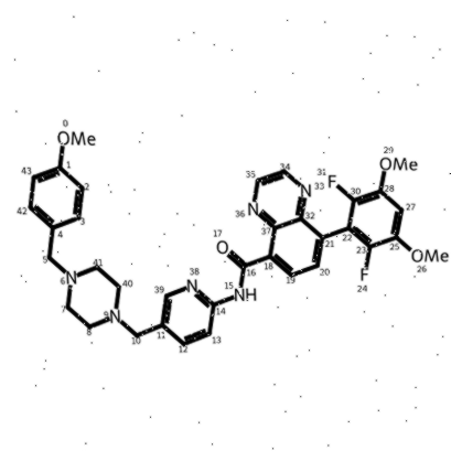 COc1ccc(CN2CCN(Cc3ccc(NC(=O)c4ccc(-c5c(F)c(OC)cc(OC)c5F)c5nccnc45)nc3)CC2)cc1